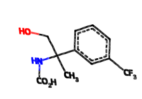 CC(CO)(NC(=O)O)c1cccc(C(F)(F)F)c1